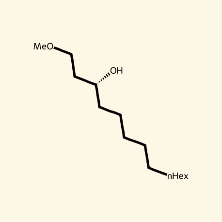 CCCCCCCCCCC[C@@H](O)CCOC